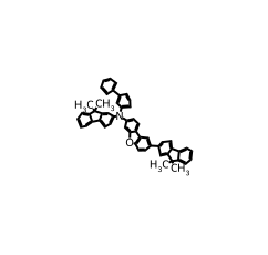 CC1(C)c2ccccc2-c2ccc(-c3ccc4oc5cc(N(c6cccc(-c7ccccc7)c6)c6ccc7c(c6)C(C)(C)c6ccccc6-7)ccc5c4c3)cc21